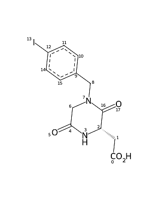 O=C(O)C[C@@H]1NC(=O)CN(Cc2ccc(I)cc2)C1=O